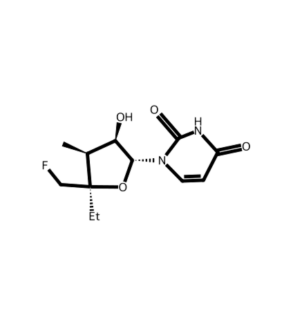 CC[C@@]1(CF)O[C@@H](n2ccc(=O)[nH]c2=O)[C@H](O)[C@@H]1C